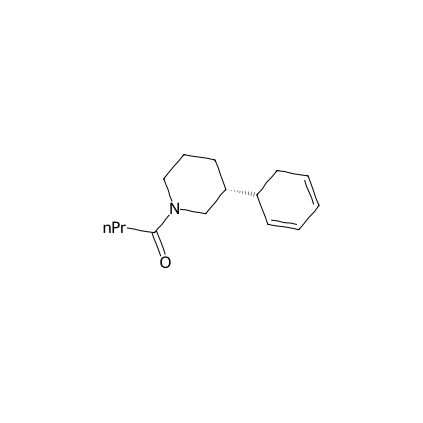 CCCC(=O)N1CCC[C@H](C2C=CC=CC2)C1